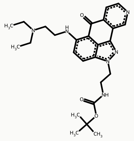 CCN(CC)CCNc1ccc2c3c(nn2CCNC(=O)OC(C)(C)C)-c2cnccc2C(=O)c13